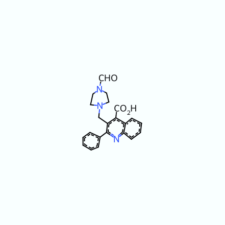 O=CN1CCN(Cc2c(-c3ccccc3)nc3ccccc3c2C(=O)O)CC1